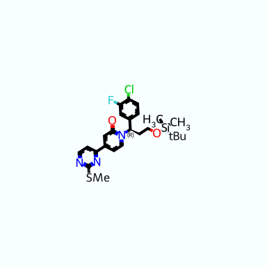 CSc1nccc(-c2ccn([C@H](CCO[Si](C)(C)C(C)(C)C)c3ccc(Cl)c(F)c3)c(=O)c2)n1